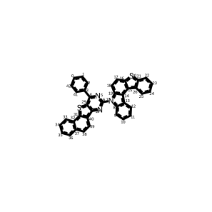 c1ccc(-c2nc(-n3c4ccccc4c4c5c(ccc43)sc3ccccc35)nc3c2sc2c4ccccc4ccc32)cc1